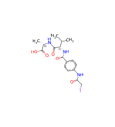 CC(C)[C@H](NC(=O)c1ccc(NC(=O)CI)cc1)C(=O)N[C@@H](C)C(=O)O